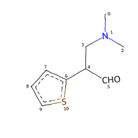 CN(C)CC(C=O)c1cccs1